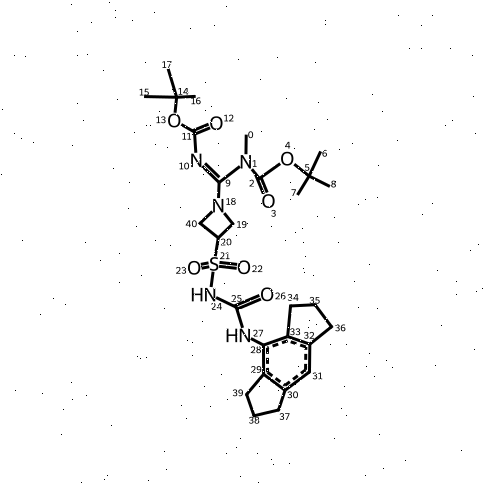 CN(C(=O)OC(C)(C)C)C(=NC(=O)OC(C)(C)C)N1CC(S(=O)(=O)NC(=O)Nc2c3c(cc4c2CCC4)CCC3)C1